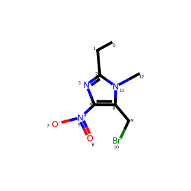 CCc1nc([N+](=O)[O-])c(CBr)n1C